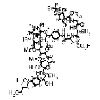 C=CCCC(C)c1ccc([C@H](O)[C@@H](C)NC(=O)[C@H](C)[C@@H](OC)[C@@H]2CCCN2C(=O)C[C@@H](OC)[C@H]([C@@H](C)CC)N(C)C(=O)[C@@H](NC(=O)[C@H](C(C)C)N(C)C(=O)OCc2ccc(NC(=O)[C@H](CCC(=O)O)NC(=O)[C@H](C)NC(=O)[C@@H](CC(C)C)NC(=O)N3C(=O)CC(SC(I)(CC)CC)C3=O)cc2)C(C)C)cc1